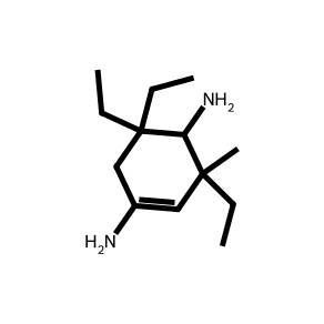 CCC1(C)C=C(N)CC(CC)(CC)C1N